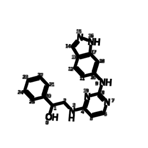 OC(CNc1ccnc(Nc2ccc3cn[nH]c3c2)n1)c1ccccc1